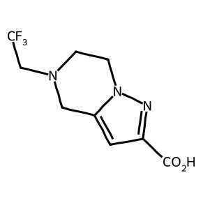 O=C(O)c1cc2n(n1)CCN(CC(F)(F)F)C2